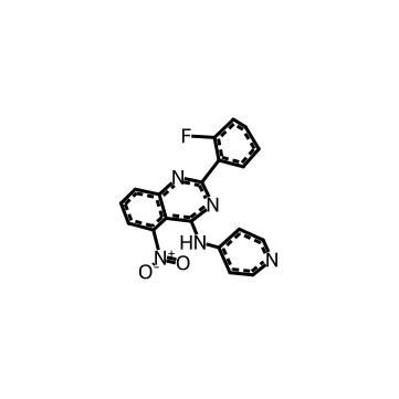 O=[N+]([O-])c1cccc2nc(-c3ccccc3F)nc(Nc3ccncc3)c12